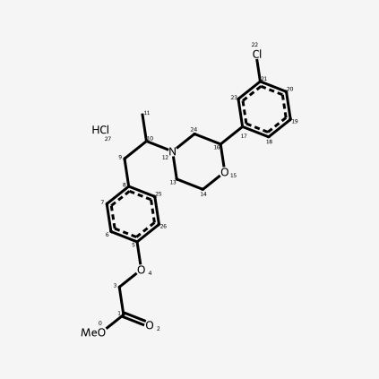 COC(=O)COc1ccc(CC(C)N2CCOC(c3cccc(Cl)c3)C2)cc1.Cl